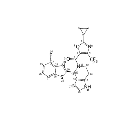 O=C(c1oc(C2CC2)nc1C(F)(F)F)N1CCc2[nH]cnc2[C@H]1c1nc2c(F)cccc2s1